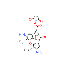 Nc1ccc2c(c1S(=O)(=O)O)Oc1c(ccc(N)c1S(=O)(=O)O)C21OC(O)c2cc(C(=O)ON3C(=O)CCC3=O)ccc21